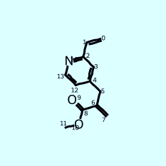 C=Cc1cc(CC(=C)C(=O)OC)ccn1